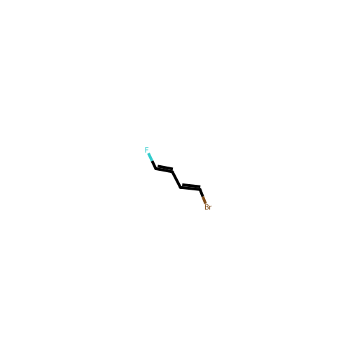 FC=CC=CBr